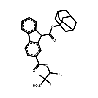 O=C(OC(C(F)(F)F)C(F)(F)S(=O)(=O)O)c1ccc2c(c1)C(C(=O)OC13CC4CC(CC(C4)C1)C3)c1ccccc1-2